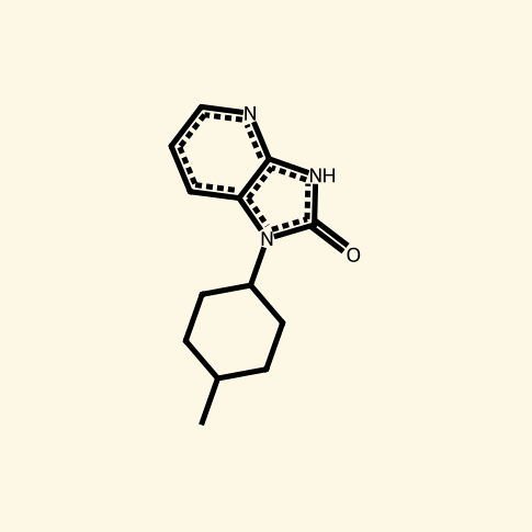 CC1CCC(n2c(=O)[nH]c3ncccc32)CC1